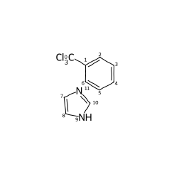 ClC(Cl)(Cl)c1ccccc1.c1c[nH]cn1